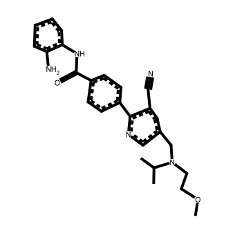 COCCN(Cc1cnc(-c2ccc(C(=O)Nc3ccccc3N)cc2)c(C#N)c1)C(C)C